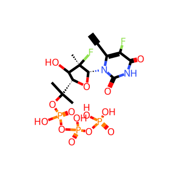 C#Cc1c(F)c(=O)[nH]c(=O)n1[C@@H]1O[C@H](C(C)(C)OP(=O)(O)OP(=O)(O)OP(=O)(O)O)C(O)[C@@]1(C)F